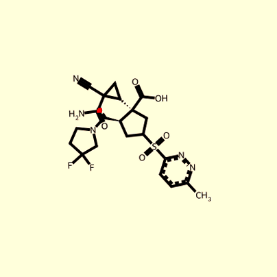 Cc1ccc(S(=O)(=O)C2C[C@@H](C(=O)N3CCC(F)(F)C3)[C@](C(=O)O)(C3CC3(C#N)C(N)=O)C2)nn1